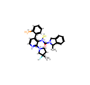 CC1c2ccccc2CN1C(=O)N(S)c1c(-c2ccccc2P)ccnc1N1CCC(C)(F)C1